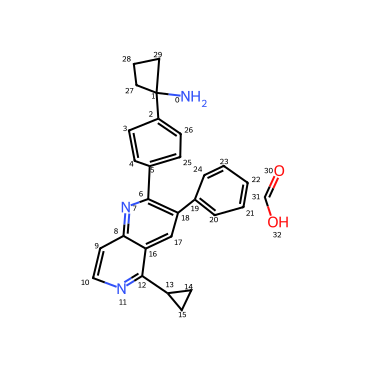 NC1(c2ccc(-c3nc4ccnc(C5CC5)c4cc3-c3ccccc3)cc2)CCC1.O=CO